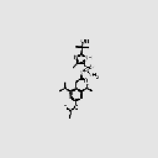 Cc1nc(C(C)(C)O)[nH]c1S(N)(=O)=NC(=O)Cc1c(C(C)C)cc(OC(F)F)cc1C(C)C